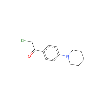 O=C(CCl)c1ccc(N2CCCCC2)cc1